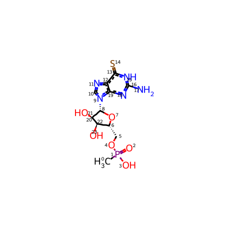 CP(=O)(O)OC[C@H]1O[C@@H](n2cnc3c(=S)[nH]c(N)nc32)[C@H](O)[C@@H]1O